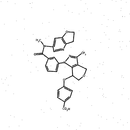 CN(C(=O)c1cccc(-n2nc(C(F)(F)F)c3c2C(Oc2ccc(C(=O)O)cc2)COC3)c1)c1cnc2c(c1)OCC2